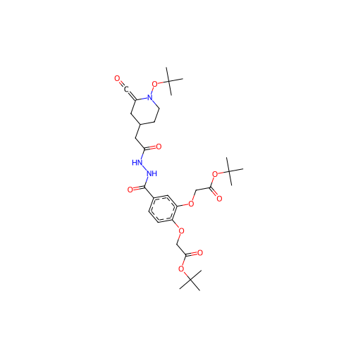 CC(C)(C)OC(=O)COc1ccc(C(=O)NNC(=O)CC2CCN(OC(C)(C)C)C(=C=O)C2)cc1OCC(=O)OC(C)(C)C